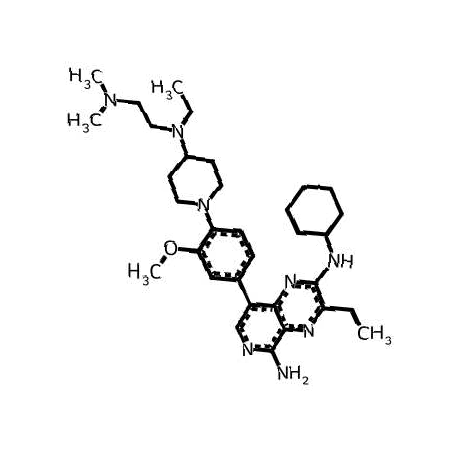 CCc1nc2c(N)ncc(-c3ccc(N4CCC(N(CC)CCN(C)C)CC4)c(OC)c3)c2nc1NC1CCCCC1